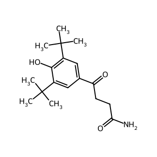 CC(C)(C)c1cc(C(=O)CCC(N)=O)cc(C(C)(C)C)c1O